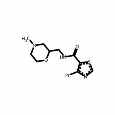 CC(C)c1ncsc1C(=O)NCC1CN(C)CCO1